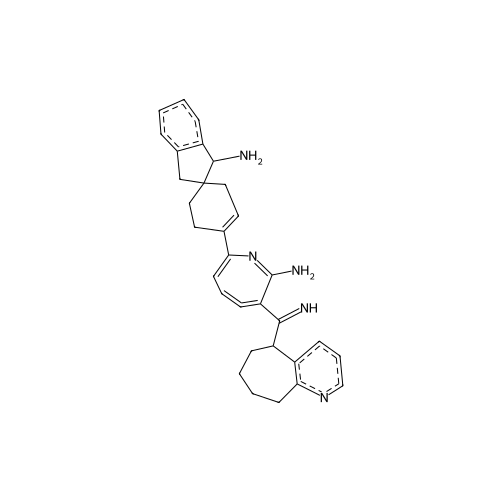 N=C(C1=C=CC=C(C2=CCC3(CC2)Cc2ccccc2C3N)N=C1N)C1CCCCc2ncccc21